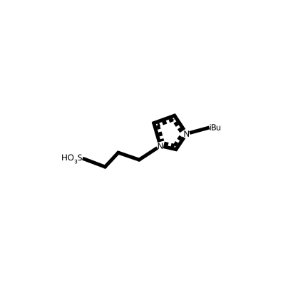 CCC(C)n1cc[n+](CCCS(=O)(=O)O)c1